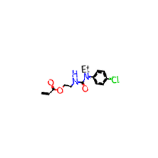 C=CC(=O)OCCNC(=O)N(CC)c1ccc(Cl)cc1